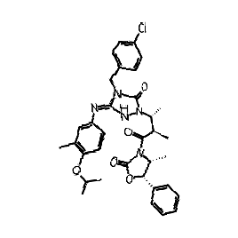 Cc1cc(/N=c2\[nH]n([C@H](C)[C@@H](C)C(=O)N3C(=O)O[C@@H](c4ccccc4)[C@H]3C)c(=O)n2Cc2ccc(Cl)cc2)ccc1OC(C)C